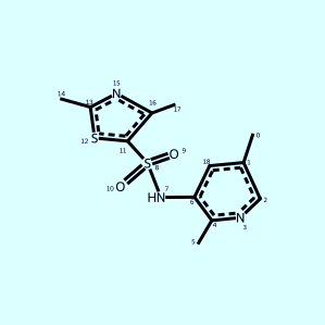 Cc1cnc(C)c(NS(=O)(=O)c2sc(C)nc2C)c1